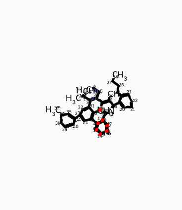 C=C(C)/C(=C(\C=C/C)c1nc(-c2ccccc2)nc(-c2ccccc2CCCC)c1C)c1cc(C2=C[C@@H](C)CC=C2)cc(C2=CC=NCC2)c1C